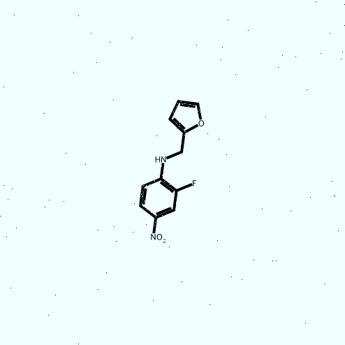 O=[N+]([O-])c1ccc(NCc2ccco2)c(F)c1